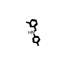 Cc1ccc(NCc2cccc(C)c2)cc1